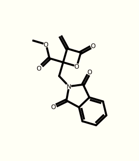 C=C1C(=O)OC1(CN1C(=O)c2ccccc2C1=O)C(=O)OC